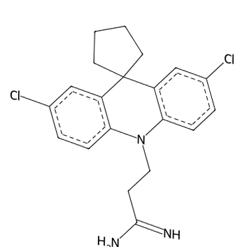 N=C(N)CCN1c2ccc(Cl)cc2C2(CCCC2)c2cc(Cl)ccc21